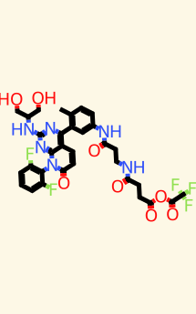 Cc1ccc(NC(=O)CCNC(=O)CCC(=O)OC(=O)C(F)(F)F)cc1-c1nc(NC(CO)CO)nc2c1ccc(=O)n2-c1c(F)cccc1F